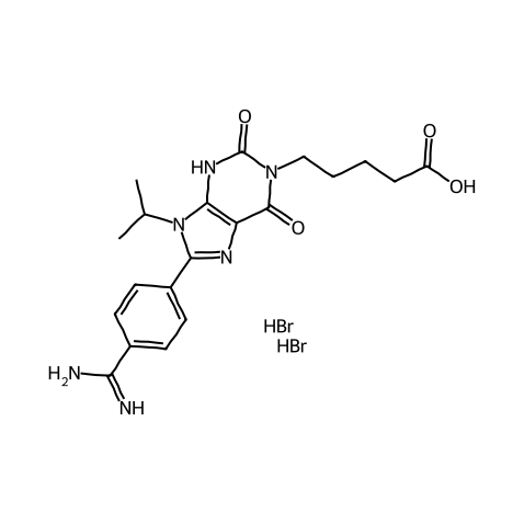 Br.Br.CC(C)n1c(-c2ccc(C(=N)N)cc2)nc2c(=O)n(CCCCC(=O)O)c(=O)[nH]c21